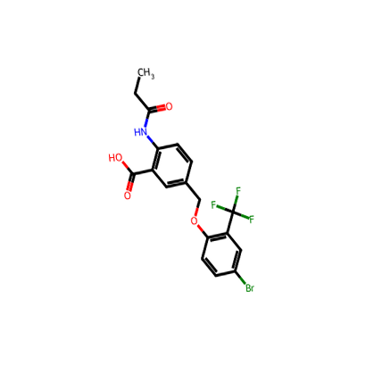 CCC(=O)Nc1ccc(COc2ccc(Br)cc2C(F)(F)F)cc1C(=O)O